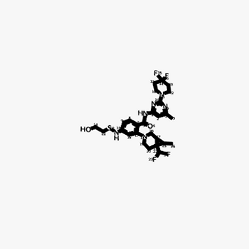 Cc1cc(NC(=O)c2ccc(NSCCO)cc2N2CCC3(C(F)F)C(C)C3C2)nc(N2CCC(F)(F)CC2)n1